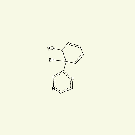 CCC1(c2cnccn2)C=CC=CC1O